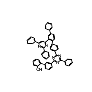 N#Cc1ccccc1-c1cccc(-c2nc(-c3ccccc3)nc(-c3ccc(-c4ccc(-c5ccccc5)cc4-c4cc(-c5ccccc5)nc(-c5ccccc5)n4)cc3)n2)c1